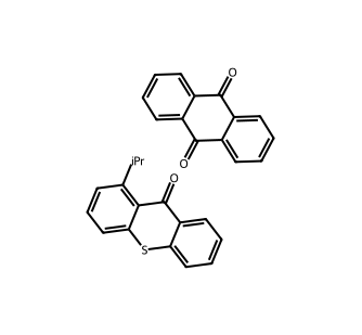 CC(C)c1cccc2sc3ccccc3c(=O)c12.O=C1c2ccccc2C(=O)c2ccccc21